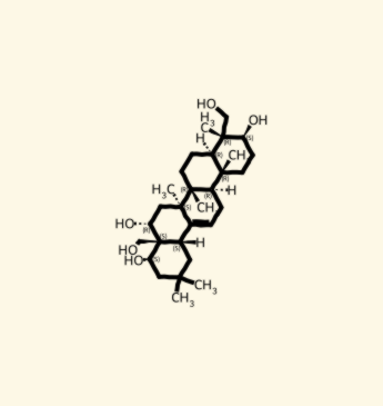 CC1(C)C[C@H](O)[C@]2(CO)[C@H](O)C[C@]3(C)C(=CC[C@@H]4[C@@]5(C)CC[C@H](O)[C@@](C)(CO)[C@@H]5CC[C@]43C)[C@@H]2C1